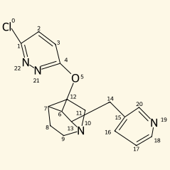 Clc1ccc(OC2C3CCN(CC3)C2Cc2cccnc2)nn1